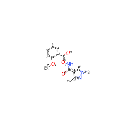 CCOc1ccccc1C(=O)ONC(=O)c1cn(C)nc1C